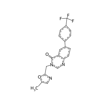 Cc1cnc(Cn2cnc3ccc(-c4ccc(C(F)(F)F)cc4)cc3c2=O)o1